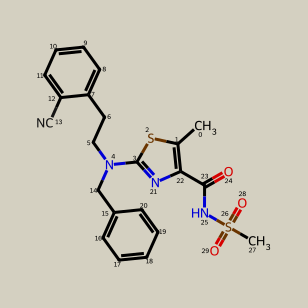 Cc1sc(N(CCc2ccccc2C#N)Cc2ccccc2)nc1C(=O)NS(C)(=O)=O